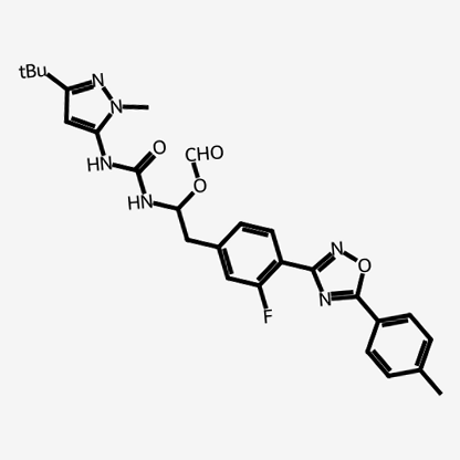 Cc1ccc(-c2nc(-c3ccc(CC(NC(=O)Nc4cc(C(C)(C)C)nn4C)OC=O)cc3F)no2)cc1